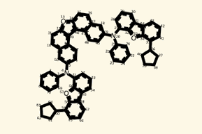 c1ccc(N(c2ccc3c(ccc4oc5ccc6cc(N(c7ccccc7)c7cccc8c7oc7c(C9CCCC9)cccc78)ccc6c5c43)c2)c2cccc3c2oc2c(C4CCCC4)cccc23)cc1